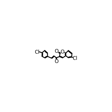 O=C(/C=C/c1ccc(Cl)cc1)c1cc2cc(Cl)ccc2oc1=O